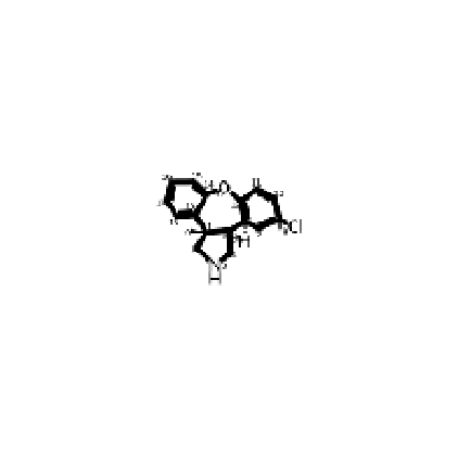 C[C@]12CNC[C@@H]1c1cc(Cl)ccc1Oc1ccccc12